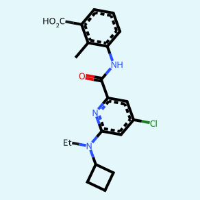 CCN(c1cc(Cl)cc(C(=O)Nc2cccc(C(=O)O)c2C)n1)C1CCC1